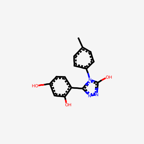 Cc1ccc(-n2c(O)nnc2-c2ccc(O)cc2O)cc1